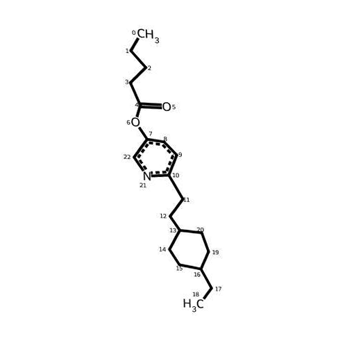 CCCCC(=O)Oc1ccc(CCC2CCC(CC)CC2)nc1